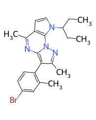 CCC(CC)n1ccc2c(C)nc3c(-c4ccc(Br)cc4C)c(C)nn3c21